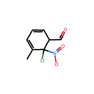 CC1=CC=CC([C]=O)C1(Cl)[N+](=O)[O-]